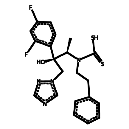 C[C@@H](N(CCc1ccccc1)C(=S)S)[C@](O)(Cn1cncn1)c1ccc(F)cc1F